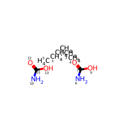 C.C.C.C.C.C.NC(=O)O.NC(=O)O